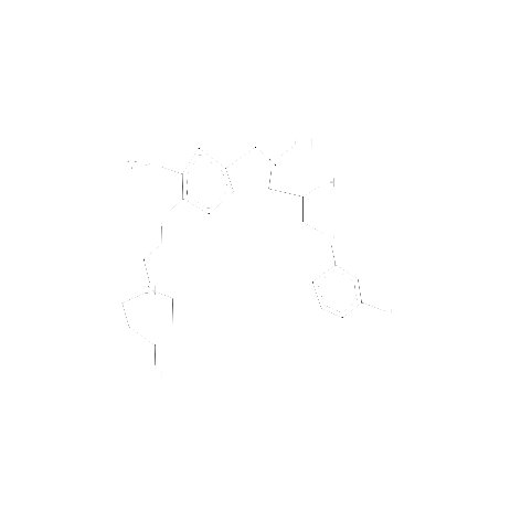 COc1cc(CN(C)CC(O)COc2cccc(Br)c2)ccc1OCCN1CCC(C)CC1